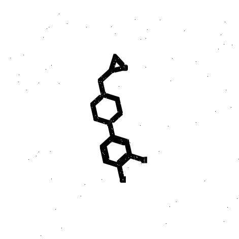 Clc1ccc(N2CCN(CC3CO3)CC2)cc1Cl